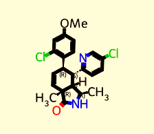 COc1ccc([C@@H]2C=C[C@@]3(C)C(=O)N[C@H](C)[C@H]3[C@H]2c2ccc(Cl)cn2)c(Cl)c1